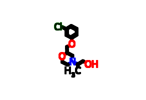 CC(CO)N1CCOC(COc2cccc(Cl)c2)C1